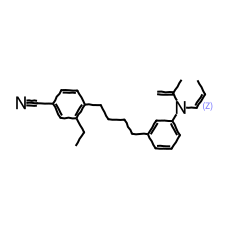 C=C(C)N(/C=C\C)c1cccc(CCCCc2ccc(C#N)cc2CC)c1